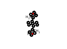 CC12CCCCC1(C)[Si](c1ccccc1)(c1ccccc1)c1ccc(-c3ccc4c(-c5cccc6ccccc56)c5cc(-c6ccc7c(c6)C6(C)CCCCC6(C)[Si]7(c6ccccc6)c6ccccc6)ccc5c(-c5cccc6ccccc56)c4c3)cc12